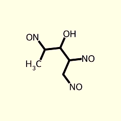 CC(N=O)C(O)C(CN=O)N=O